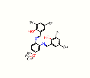 CC(=O)[O-].CC(=O)[O-].CCC(C)c1cc(C=Nc2ccccc2N=Cc2cc(C(C)CC)cc(C(C)C)c2O)c(O)c(C(C)C)c1.[Co+2]